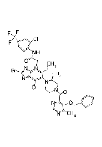 CCc1c(N2CCN(C(=O)c3ncnc(C)c3OCc3ccccc3)C[C@@H]2C)c(=O)n2nc(Br)nc2n1CC(=O)Nc1ccc(C(F)(F)F)cc1Cl